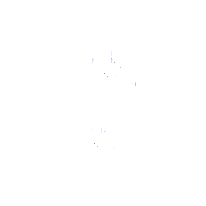 CCC[C@H]1NC(=O)N(Cc2ccc(CN3C(=N)NC(C)(CC(C)C)C3=O)cc2)C1=O